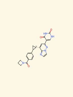 O=C(c1ccc(C2C[C@@H]2c2cc(-c3c[nH]c(=O)[nH]c3=O)nn3ccnc23)cc1)N1CCC1